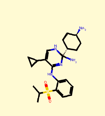 CC(C)S(=O)(=O)c1ccccc1NC1=NC(N)([C@H]2CC[C@H](N)CC2)NC=C1C1CC1